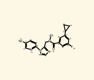 CCN(Cc1ncnn1-c1ccc(C#N)cn1)C(=O)c1cc(F)cc(C2CC2)c1